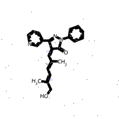 CC(/C=C1\C(=O)N(c2ccccc2)N=C1c1cccnc1)=C\C=C(/C)CO